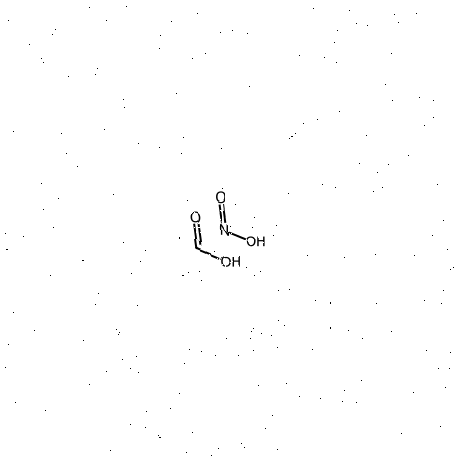 O=CO.O=NO